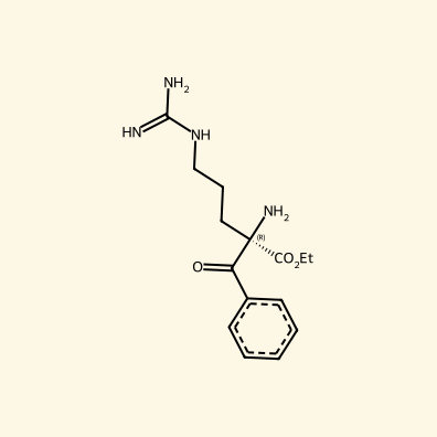 CCOC(=O)[C@@](N)(CCCNC(=N)N)C(=O)c1ccccc1